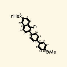 CCCCCCc1ccc2c(F)c(-c3ccc(-c4ccc(OC)cc4)cc3)ccc2c1